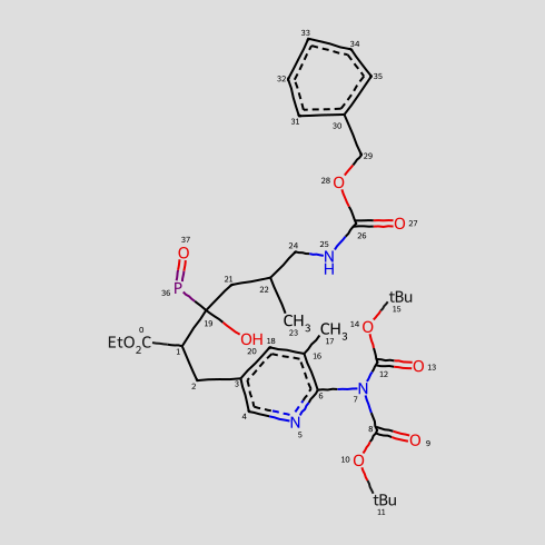 CCOC(=O)C(Cc1cnc(N(C(=O)OC(C)(C)C)C(=O)OC(C)(C)C)c(C)c1)C(O)(CC(C)CNC(=O)OCc1ccccc1)P=O